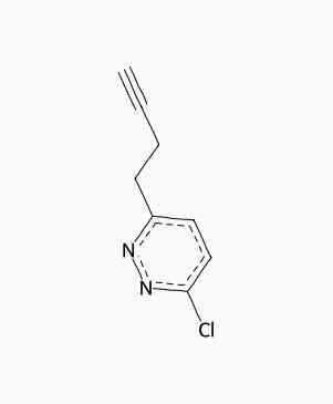 C#CCCc1ccc(Cl)nn1